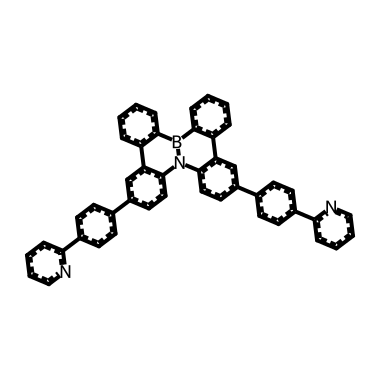 c1ccc(-c2ccc(-c3ccc4c(c3)-c3ccccc3B3c5ccccc5-c5cc(-c6ccc(-c7ccccn7)cc6)ccc5N34)cc2)nc1